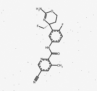 Cc1cc(C#N)cnc1C(=O)Nc1ccc(F)c([C@]2(CF)CCOC(N)=N2)c1